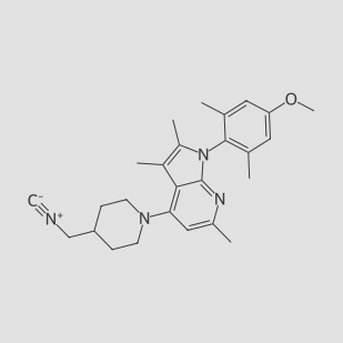 [C-]#[N+]CC1CCN(c2cc(C)nc3c2c(C)c(C)n3-c2c(C)cc(OC)cc2C)CC1